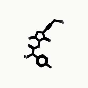 Cc1ccc(C(N)C(=O)ON2C(=O)CC(C#CCN)C2=O)cc1